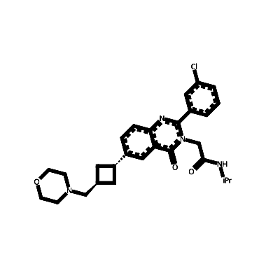 CC(C)NC(=O)Cn1c(-c2cccc(Cl)c2)nc2ccc([C@H]3C[C@H](CN4CCOCC4)C3)cc2c1=O